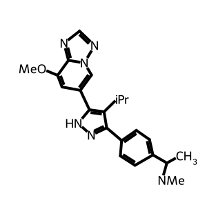 CNC(C)c1ccc(-c2n[nH]c(-c3cc(OC)c4ncnn4c3)c2C(C)C)cc1